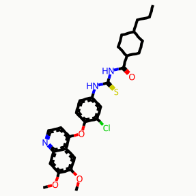 CCCC1CCC(C(=O)NC(=S)Nc2ccc(Oc3ccnc4cc(OC)c(OC)cc34)c(Cl)c2)CC1